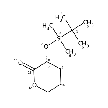 CC(C)(C)[Si](C)(C)O[C@@H]1CCCOC1=O